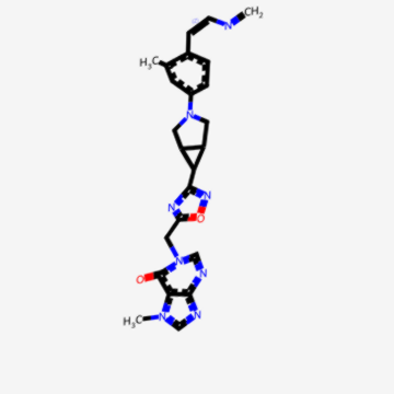 C=N/C=C\c1ccc(N2CC3C(C2)C3c2noc(Cn3cnc4ncn(C)c4c3=O)n2)cc1C